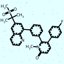 Cn1c(-c2cccc(-c3cc(C(C)(C)S(C)(=O)=O)cc4cccnc34)c2)c(-c2ccc(F)cc2)ccc1=O